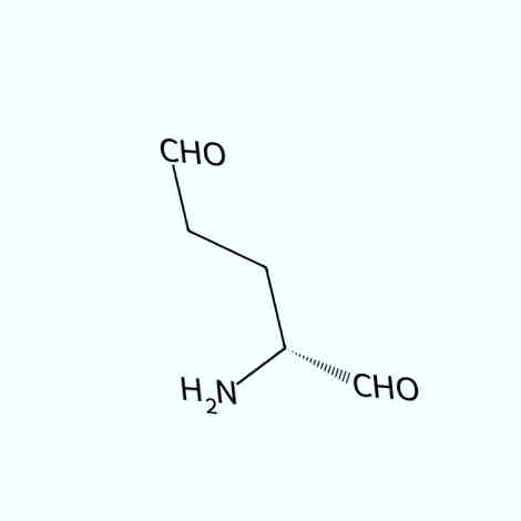 N[C@@H](C=O)CCC=O